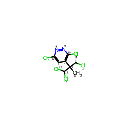 CC(CCl)(c1cc(Cl)nnc1Cl)C(Cl)Cl